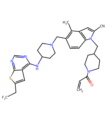 C=CC(=O)N1CCC(Cn2c(C#N)cc3c(C)c(CN4CCC(Nc5ncnc6sc(CC(F)(F)F)cc56)CC4)ccc32)CC1